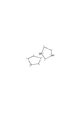 C1CCOC1.C1CNCN1